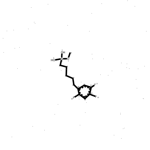 CO[Si](O)(O)CCCCCc1cc(F)c(F)cc1F